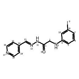 O=C(CNc1cccc(I)c1)N/N=C/c1ccncc1